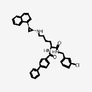 O=C(NC(CCCCN[C@@H]1C[C@H]1c1cccc2ccccc12)C(=O)NCc1cccc(Cl)c1)c1ccc(-c2ccccc2)cc1